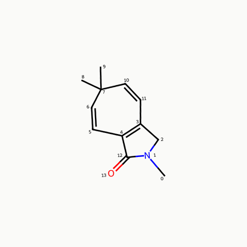 CN1CC2=C(C=CC(C)(C)C=C2)C1=O